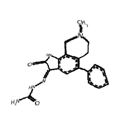 CN1CCc2c(-c3ccccc3)cc3c(c2C1)NC(=O)/C3=N\NC(N)=O